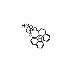 O=P1(OO)Oc2ccc3ccccc3c2[C@@H]2c3ccccc3CCC2O1